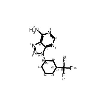 Nc1ncnc2c1nnn2[C@H]1CCC[C@H](C(F)(F)F)C1